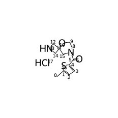 Cc1ccc(C(=O)N2CCOC3(CNC3)C2)s1.Cl